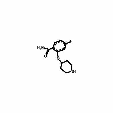 NC(=O)c1ccc(F)cc1OC1CCNCC1